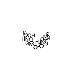 COc1nc(-c2cccc(-c3cccc(NC(=O)c4cn(C)c(=O)n(C)c4=O)c3C)c2F)cc2c1[C@@H](NC1=C(O)COCC1)CC2